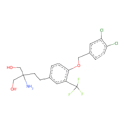 NC(CO)(CO)CCc1ccc(OCc2ccc(Cl)c(Cl)c2)c(C(F)(F)F)c1